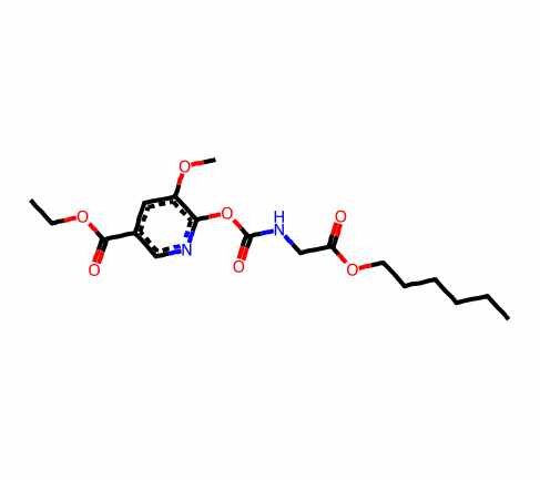 CCCCCCOC(=O)CNC(=O)Oc1ncc(C(=O)OCC)cc1OC